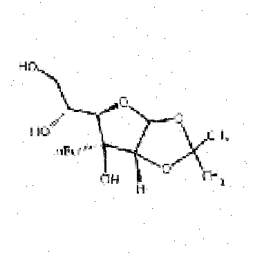 CCCC[C@]1(O)[C@@H]([C@H](O)CO)OC2OC(C)(C)O[C@@H]21